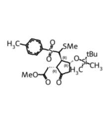 COC(=O)C[C@H]1C(=O)C[C@@H](O[Si](C)(C)C(C)(C)C)[C@@H]1C(SC)S(=O)(=O)c1ccc(C)cc1